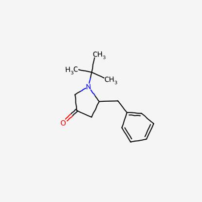 CC(C)(C)N1CC(=O)CC1Cc1ccccc1